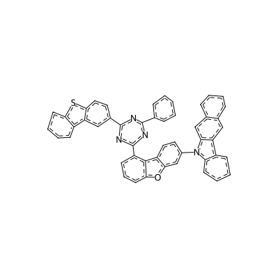 c1ccc(-c2nc(-c3ccc4sc5ccccc5c4c3)nc(-c3cccc4oc5cc(-n6c7ccccc7c7cc8ccccc8cc76)ccc5c34)n2)cc1